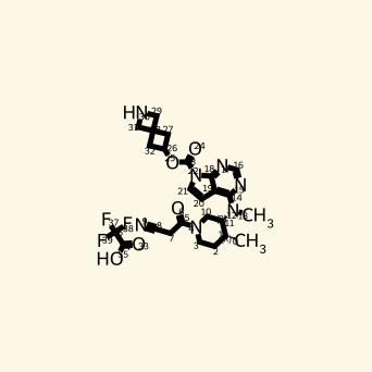 C[C@@H]1CCN(C(=O)CC#N)C[C@@H]1N(C)c1ncnc2c1ccn2C(=O)OC1CC2(CNC2)C1.O=C(O)C(F)(F)F